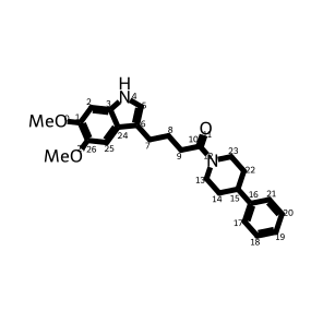 COc1cc2[nH]cc(CCCC(=O)N3CCC(c4ccccc4)CC3)c2cc1OC